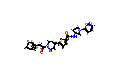 O=C(N[C@H]1CCN(c2cccnn2)C1)c1ccc(C2CCN(C(=O)CC3CC4CCC3C4)CC2)s1